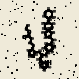 CCOC(=O)CCCn1ccnc1CN(Cc1ccc(CN2CCC3(CCN(C4CCCCC4)CC3)C2)cc1)Cc1ncc[nH]1